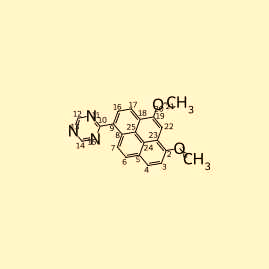 COc1ccc2ccc3c(-c4ncncn4)ccc4c(OC)cc1c2c43